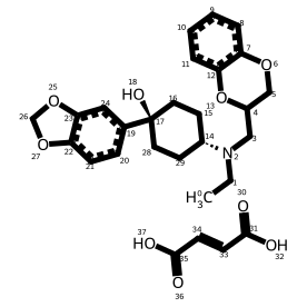 CCN(CC1COc2ccccc2O1)[C@H]1CC[C@@](O)(c2ccc3c(c2)OCO3)CC1.O=C(O)/C=C/C(=O)O